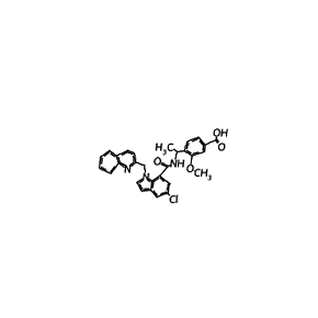 COc1cc(C(=O)O)ccc1C(C)NC(=O)c1cc(Cl)cc2ccn(Cc3ccc4ccccc4n3)c12